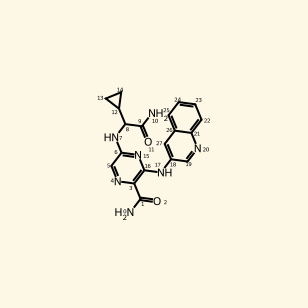 NC(=O)c1ncc(NC(C(N)=O)C2CC2)nc1Nc1cnc2ccccc2c1